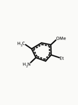 CCc1cc(N)c(C)cc1OC